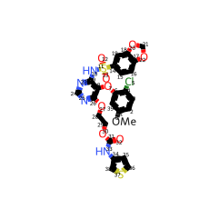 COc1ccc(Cl)c(Oc2c(NS(=O)(=O)c3ccc4c(c3)OCO4)ncnc2OCCOC(=O)Nc2ccsc2)c1